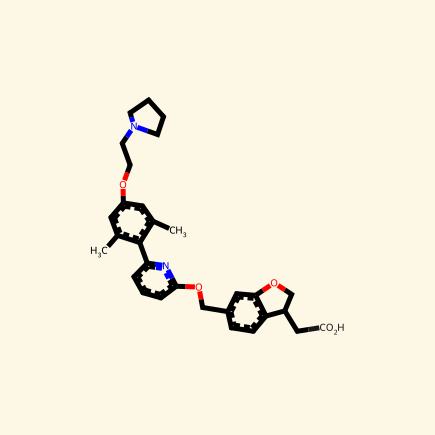 Cc1cc(OCCN2CCCC2)cc(C)c1-c1cccc(OCc2ccc3c(c2)OCC3CC(=O)O)n1